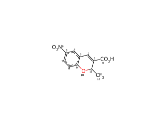 O=C(O)C1=Cc2cc([N+](=O)[O-])ccc2OC1C(F)(F)F